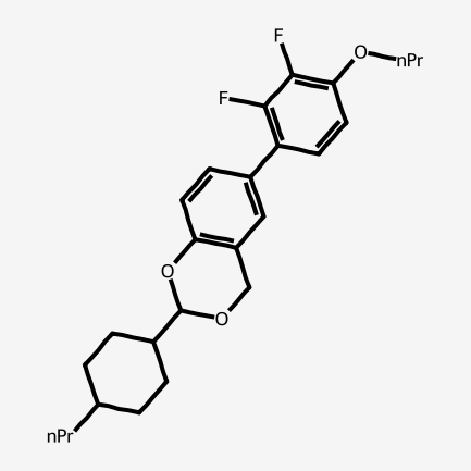 CCCOc1ccc(-c2ccc3c(c2)COC(C2CCC(CCC)CC2)O3)c(F)c1F